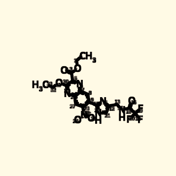 CCOC(=O)c1nc2cc(-c3nc(CNC(=O)C(F)(F)F)c[nH]3)c([N+](=O)[O-])cc2nc1OCC